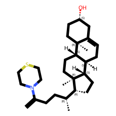 C=C(CC[C@@H](C)[C@H]1CC[C@H]2[C@@H]3CC=C4C[C@@H](O)CC[C@]4(C)[C@H]3CC[C@]12C)N1CCSCC1